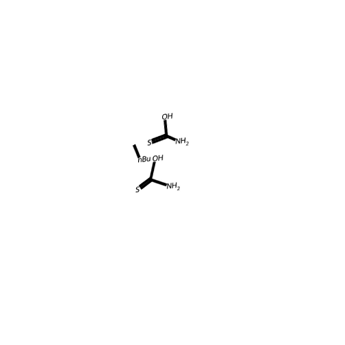 CCCCC.NC(O)=S.NC(O)=S